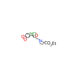 CCOC(=O)C1CCCN(CCC(=O)C=Cc2ccc3c(c2)OCO3)C1.Cl